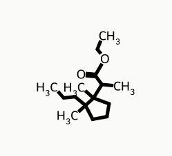 CCCC1(C)CCCC1(C)C(C)C(=O)OCC